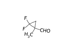 CC1(C=O)CC1(F)F